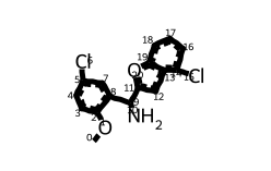 COc1ccc(Cl)cc1C(N)c1cc2c(Cl)cccc2o1